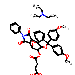 CCN(CC)CC.COc1ccc(C(OC2C(OC(=O)CCC(=O)O)C3OC2C2C(=O)N(c4ccccc4)C(=O)C32)(c2ccccc2)c2ccc(OC)cc2)cc1